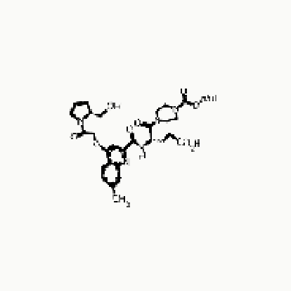 CCCCOC(=O)N1CCN(C(=O)[C@H](CCC(=O)O)NC(=O)c2cc(OCC(=O)N3CCC[C@H]3CO)c3ccc(C)cc3n2)CC1